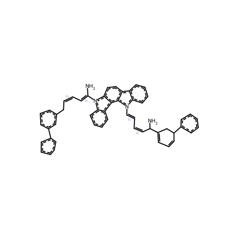 N/C(=C\C=C/Cc1cccc(-c2ccccc2)c1)n1c2ccccc2c2c3c(ccc21)c1ccccc1n3/C=C/C=C\C(N)C1=CC=CC(c2ccccc2)C1